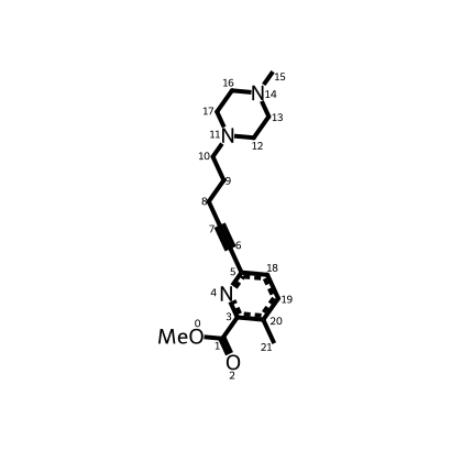 COC(=O)c1nc(C#CCCCN2CCN(C)CC2)ccc1C